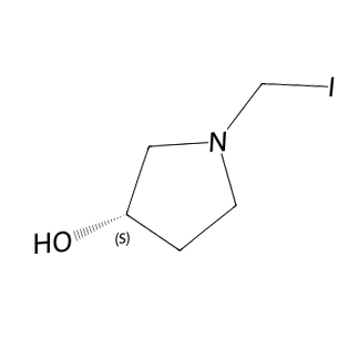 O[C@H]1CCN(CI)C1